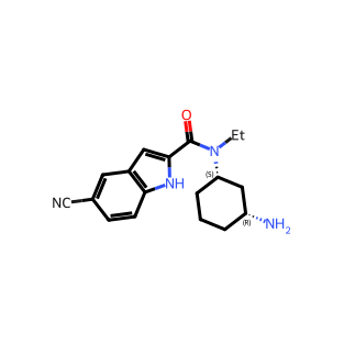 CCN(C(=O)c1cc2cc(C#N)ccc2[nH]1)[C@H]1CCC[C@@H](N)C1